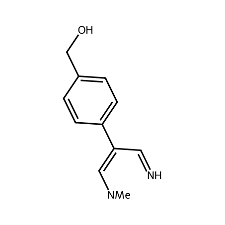 CN/C=C(\C=N)c1ccc(CO)cc1